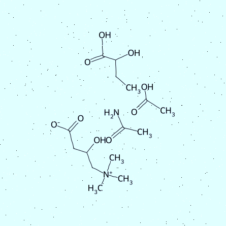 CC(=O)O.CC(N)=O.CCC(O)C(=O)O.C[N+](C)(C)CC(O)CC(=O)[O-]